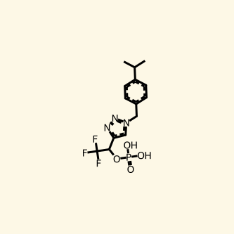 CC(C)c1ccc(Cn2cc(C(OP(=O)(O)O)C(F)(F)F)nn2)cc1